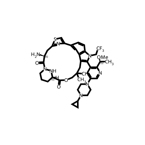 CO[C@@H](C)c1ncc(N2CCN(C3CC3)CC2)cc1-c1c2c3cc(ccc3n1CC(F)(F)F)-c1csc(n1)C[C@H](N)C(=O)N1CCC[C@H](N1)C(=O)OCC(C)(C)C2